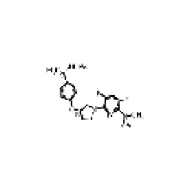 CCCN(C)c1nc(N2CC[C@@H](Oc3ccc([C@H](C)NC(C)=O)cc3)C2)c(F)cc1F